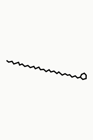 CCCCCCCCCCCCCCCCCCCCCCCCCCCCC1CCCCC1